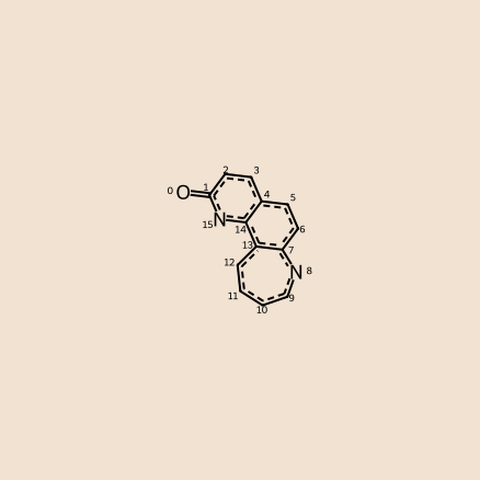 O=c1ccc2ccc3nccccc3c2n1